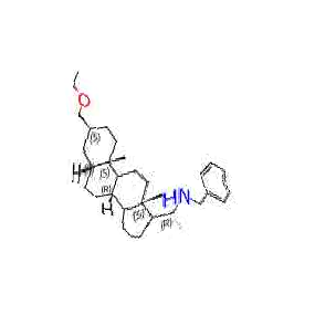 CCOC[C@H]1CC[C@]2(C)C3CC[C@@]4(C)C(CCC4[C@@H](C)NCc4ccccc4)[C@@H]3CC[C@@H]2C1